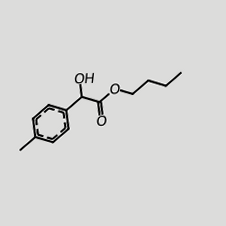 CCCCOC(=O)C(O)c1ccc(C)cc1